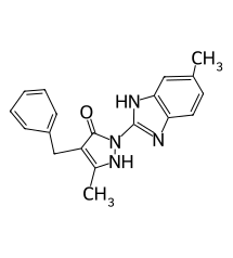 Cc1ccc2nc(-n3[nH]c(C)c(Cc4ccccc4)c3=O)[nH]c2c1